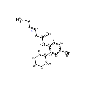 CC/C=C/CC(=O)Oc1ccc(Br)cc1C1SCCCS1